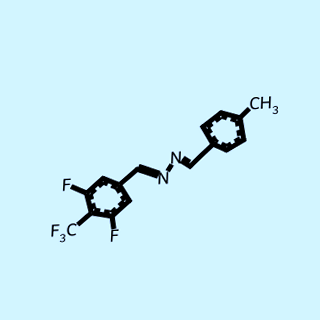 Cc1ccc(/C=N/N=C/c2cc(F)c(C(F)(F)F)c(F)c2)cc1